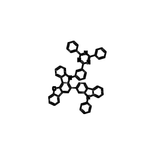 c1ccc(-c2nc(-c3ccccc3)nc(-c3cccc(-n4c5ccccc5c5c6oc7ccccc7c6cc(-c6ccc7c8ccccc8n(-c8ccccc8)c7c6)c54)c3)n2)cc1